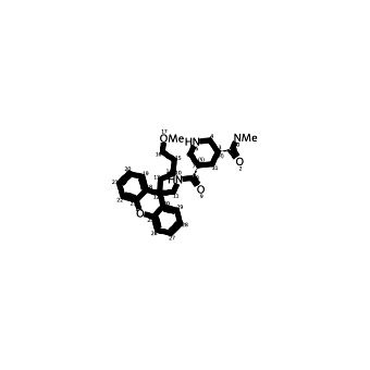 CNC(=O)[C@H]1CNC[C@@H](C(=O)NCC2(CCCCOC)c3ccccc3Oc3ccccc32)C1